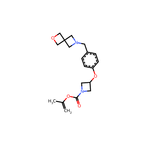 C=C(C)OC(=O)N1CC(Oc2ccc(CN3CC4(COC4)C3)cc2)C1